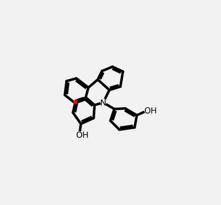 Oc1cccc(N(c2cccc(O)c2)c2ccccc2-c2ccccc2)c1